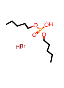 Br.CCCCCOP(=O)(O)OCCCCC